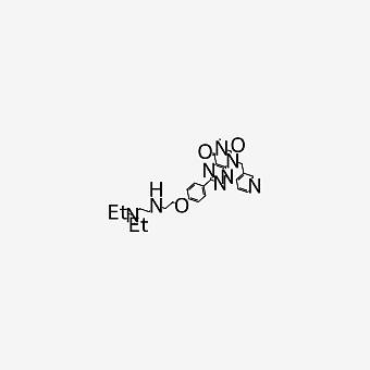 CCN(CC)CCNCCOc1ccc(-c2nnc3c(n2)c(=O)n(C)c(=O)n3Cc2cccnc2)cc1